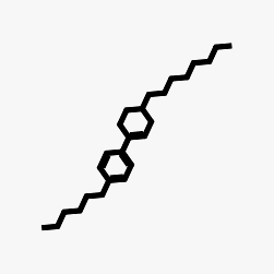 CCCCCCCCC1CC=C(c2ccc(CCCCCC)cc2)CC1